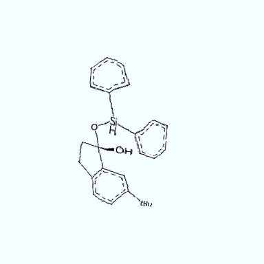 CC(C)(C)c1ccc2c(c1)[C@@](O)(O[SiH](c1ccccc1)c1ccccc1)CC2